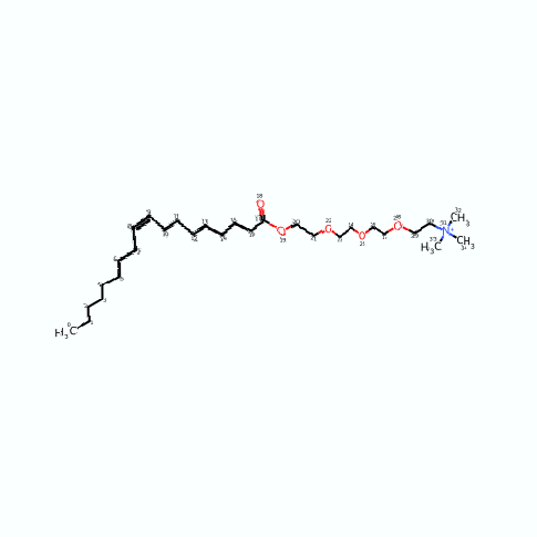 CCCCCCCC/C=C\CCCCCCCC(=O)OCCOCCOCCOCC[N+](C)(C)C